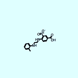 Cc1ccccc1NCCNc1ccc(C(=O)O)cc1[N+](=O)[O-]